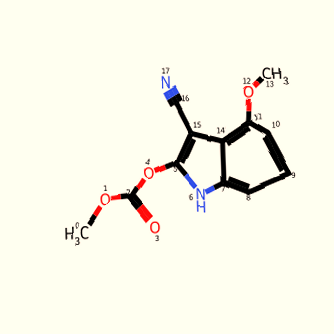 COC(=O)Oc1[nH]c2cccc(OC)c2c1C#N